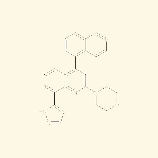 c1cc(-c2cc(N3CCOCC3)nc3c(-c4ccn[nH]4)nccc23)c2ccncc2c1